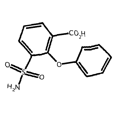 NS(=O)(=O)c1cccc(C(=O)O)c1Oc1ccccc1